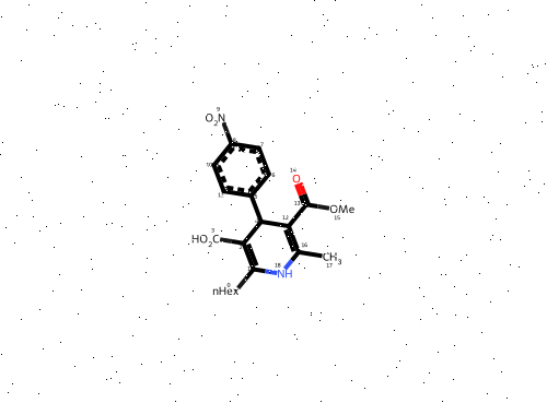 CCCCCCC1=C(C(=O)O)C(c2ccc([N+](=O)[O-])cc2)C(C(=O)OC)=C(C)N1